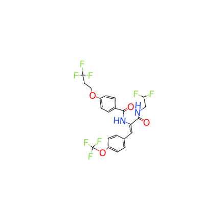 O=C(NCC(F)F)/C(=C/c1ccc(OC(F)(F)F)cc1)NC(=O)c1ccc(OCCC(F)(F)F)cc1